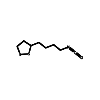 O=C=NCCCCC1CCSS1